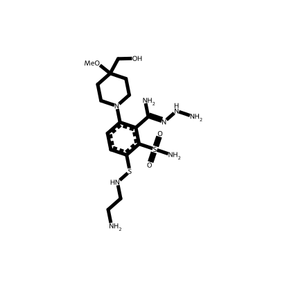 COC1(CO)CCN(c2ccc(SNCCN)c(S(N)(=O)=O)c2/C(N)=N/NN)CC1